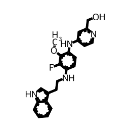 COc1c(Nc2ccnc(CO)c2)ccc(NCCc2c[nH]c3ccccc23)c1F